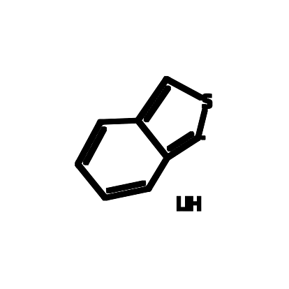 [LiH].[c]1scc2ccccc12